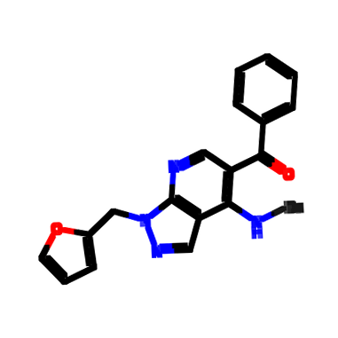 CCC(C)Nc1c(C(=O)c2ccccc2)cnc2c1cnn2Cc1ccco1